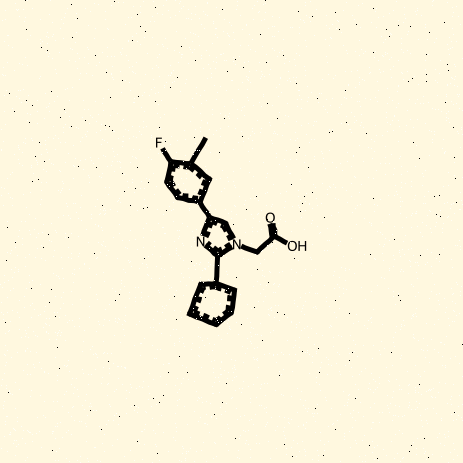 Cc1cc(-c2cn(CC(=O)O)c(-c3ccccc3)n2)ccc1F